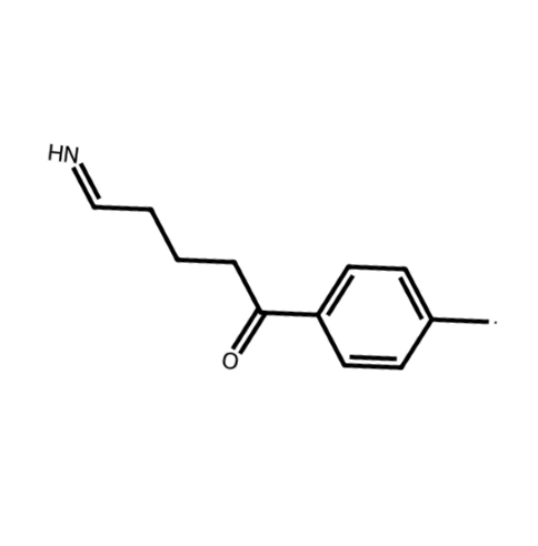 [CH2]c1ccc(C(=O)CCCC=N)cc1